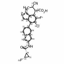 CC(C#N)N(C(=O)O)c1c(F)c(Cl)c(-c2ccn3nc(NC(=O)[C@@H]4C[C@@H]4F)cc3c2)c2cn[nH]c12